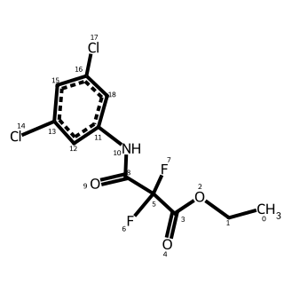 CCOC(=O)C(F)(F)C(=O)Nc1cc(Cl)cc(Cl)c1